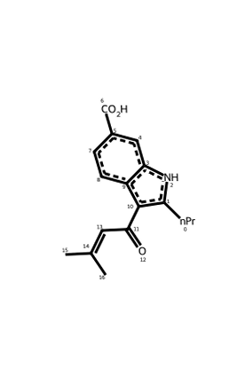 CCCc1[nH]c2cc(C(=O)O)ccc2c1C(=O)C=C(C)C